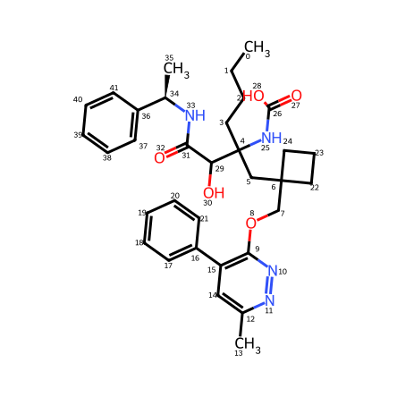 CCCCC(CC1(COc2nnc(C)cc2-c2ccccc2)CCC1)(NC(=O)O)C(O)C(=O)N[C@H](C)c1ccccc1